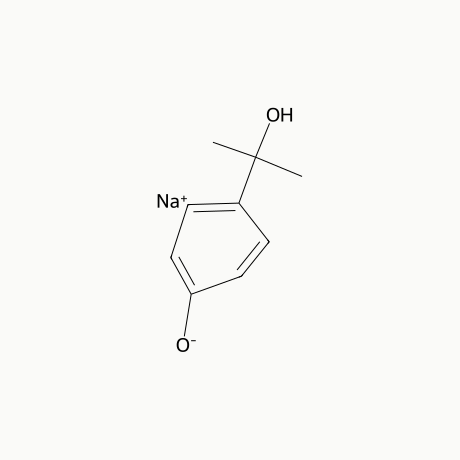 CC(C)(O)c1ccc([O-])cc1.[Na+]